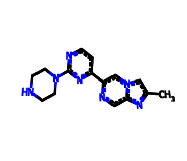 Cc1cn2cc(-c3ccnc(N4CCNCC4)n3)ncc2n1